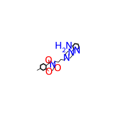 Cc1ccc2c(c1)OCC(=O)N(CCCCN1CCN(c3ncccc3N)CC1)C2=O